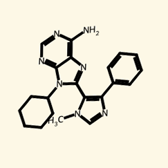 Cn1cnc(-c2ccccc2)c1-c1nc2c(N)ncnc2n1C1CCCCC1